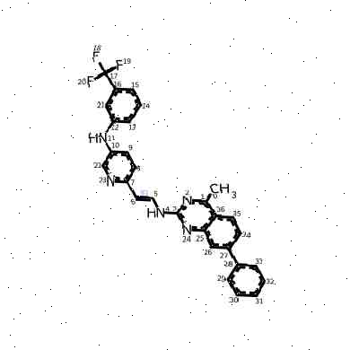 Cc1nc(N/C=C/c2ccc(Nc3cccc(C(F)(F)F)c3)cn2)nc2cc(-c3ccccc3)ccc12